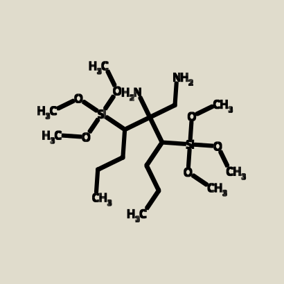 CCCC(C(N)(CN)C(CCC)[Si](OC)(OC)OC)[Si](OC)(OC)OC